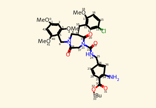 COc1cc(OC)c(CN2C[C@@H](Cc3cc(Cl)ccc3OC)C(=O)N(C(=O)NCc3ccc(C(=O)OC(C)(C)C)c(N)c3)CC2=O)c(OC)c1